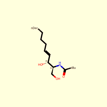 CCCCCCCCCCCCCC=C[C@@H](O)[C@H](CO)NC(=O)C(C)(C)C